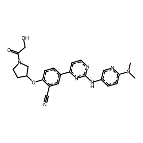 CN(C)c1ccc(Nc2nccc(-c3ccc(OC4CCN(C(=O)CO)C4)c(C#N)c3)n2)cn1